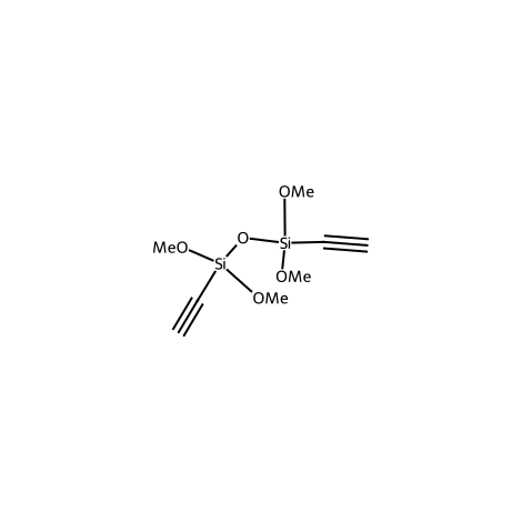 C#C[Si](OC)(OC)O[Si](C#C)(OC)OC